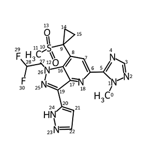 Cn1ncnc1-c1cc(C2(S(C)(=O)=O)CC2)c2c(n1)c(-c1ccn[nH]1)nn2CC(F)F